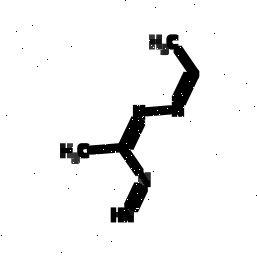 C/C=N\N=C(\C)N=N